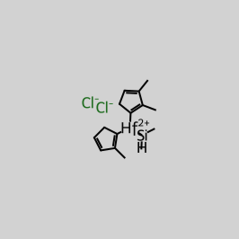 CC1=CC[C]([Hf+2]([C]2=C(C)C=CC2)[SiH](C)C)=C1C.[Cl-].[Cl-]